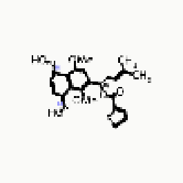 COc1cc([C@@H](CC=C(C)C)OC(=O)c2cccs2)c(OC)c2c1/C(=N/O)C=C/C2=N\O